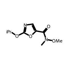 CON(C)C(=O)c1cnc(OC(C)C)o1